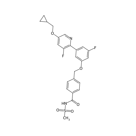 CS(=O)(=O)NC(=O)c1ccc(COc2cc(F)cc(-c3ncc(OCC4CC4)cc3F)c2)cc1